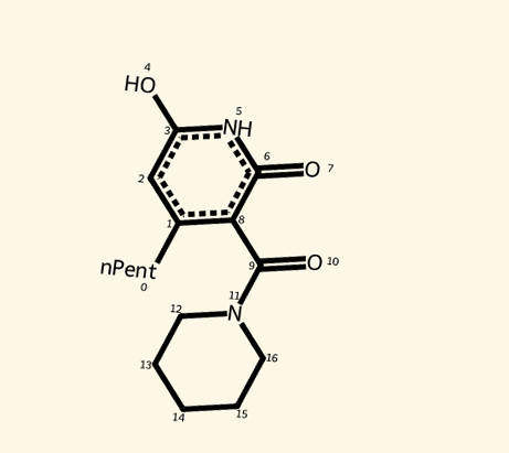 CCCCCc1cc(O)[nH]c(=O)c1C(=O)N1CCCCC1